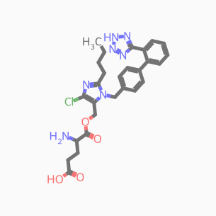 CCCCc1nc(Cl)c(COC(=O)C(N)CCC(=O)O)n1Cc1ccc(-c2ccccc2-c2nn[nH]n2)cc1